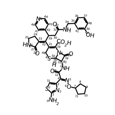 Nc1nc(C(=NOC2CCCC2)C(=O)N[C@@H]2C(=O)N3C(C(=O)O)=C(C(=C4CCNC4=O)C(CC(=O)NCc4cccc(O)c4)c4ccncc4)CS[C@H]23)cs1